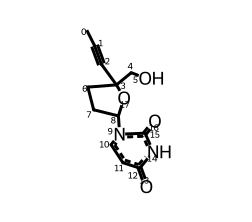 CC#CC1(CO)CCC(n2ccc(=O)[nH]c2=O)O1